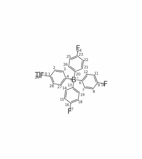 Fc1ccc([B-](c2ccc(F)cc2)(c2ccc(F)cc2)c2ccc(F)cc2)cc1.[Tl+]